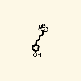 CCCCOC(=O)CCCCc1ccc(O)cc1